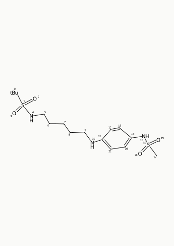 CC(C)(C)S(=O)(=O)NCCCCCNc1ccc(NS(C)(=O)=O)cc1